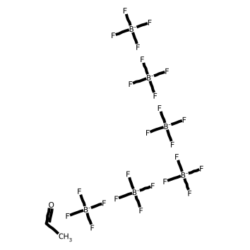 CC=O.F[B-](F)(F)F.F[B-](F)(F)F.F[B-](F)(F)F.F[B-](F)(F)F.F[B-](F)(F)F.F[B-](F)(F)F